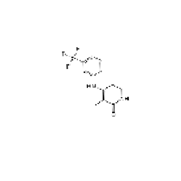 CC1=C(Nc2cccc(C(F)(F)F)c2)CCNC1=O